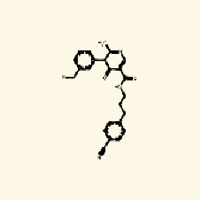 CC1=NC=C(C(=O)NCCCc2ccc(C#N)cc2)C(=O)C1c1cccc(CF)c1